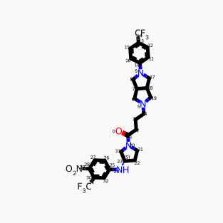 O=C(CCCN1CC2CN(c3ccc(C(F)(F)F)cc3)CC2C1)N1CC[C@H](Nc2ccc([N+](=O)[O-])c(C(F)(F)F)c2)C1